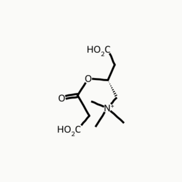 C[N+](C)(C)C[C@@H](CC(=O)O)OC(=O)CC(=O)O